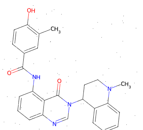 Cc1cc(C(=O)Nc2cccc3ncn(C4CCN(C)c5ccccc54)c(=O)c23)ccc1O